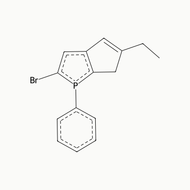 CCC1=Cc2cc(Br)p(-c3ccccc3)c2C1